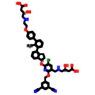 Cc1c(-c2ccc(OCCNC[C@@H](O)CC(=O)O)cc2)cccc1-c1cccc2c1CC[C@@H]2Oc1nc(OCc2cc(C#N)cc(C#N)c2)c(CNC[C@@H](O)CC(=O)O)cc1Br